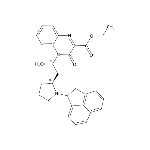 CCOC(=O)c1nc2ccccc2n([C@@H](C)C[C@@H]2CCCN2C2Cc3cccc4cccc2c34)c1=O